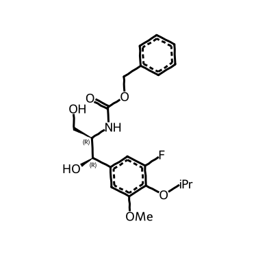 COc1cc([C@@H](O)[C@@H](CO)NC(=O)OCc2ccccc2)cc(F)c1OC(C)C